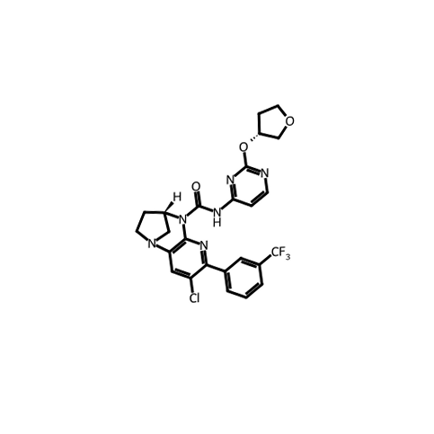 O=C(Nc1ccnc(O[C@@H]2CCOC2)n1)N1c2nc(-c3cccc(C(F)(F)F)c3)c(Cl)cc2N2CC[C@H]1C2